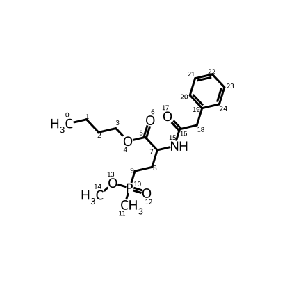 CCCCOC(=O)C(CCP(C)(=O)OC)NC(=O)Cc1ccccc1